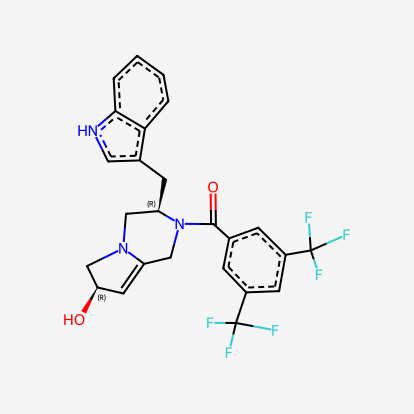 O=C(c1cc(C(F)(F)F)cc(C(F)(F)F)c1)N1CC2=C[C@@H](O)CN2C[C@H]1Cc1c[nH]c2ccccc12